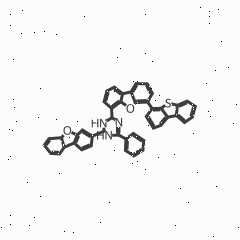 C1=CC2Oc3cc(C4NC(c5ccccc5)=NC(c5cccc6c5oc5c(-c7cccc8c7sc7ccccc78)cccc56)N4)ccc3C2C=C1